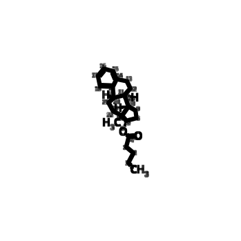 CCCCC(=O)O[C@H]1CC[C@H]2[C@@H]3CCc4c[c]ccc4[C@H]3CC[C@]12C